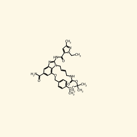 CCn1nc(C)cc1C(=O)Nc1nc2cc(C(N)=O)cc(OCc3ccc(OC)cc3)c2n1C/C=C/CNC(=O)OC(C)(C)C